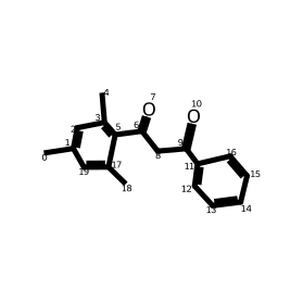 Cc1cc(C)c(C(=O)CC(=O)c2ccccc2)c(C)c1